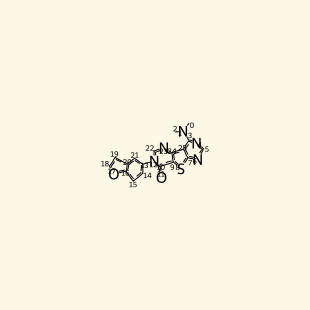 CN(C)c1ncnc2sc3c(=O)n(-c4ccc5occc5c4)cnc3c12